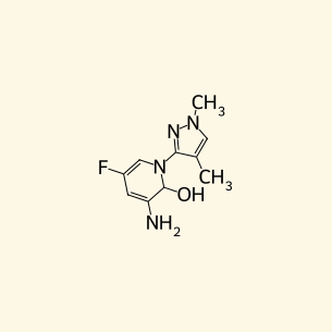 Cc1cn(C)nc1N1C=C(F)C=C(N)C1O